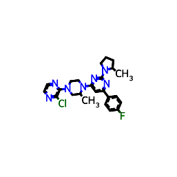 CC1CN(c2nccnc2Cl)CCN1c1cc(-c2ccc(F)cc2)nc(N2CCCC2C)n1